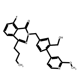 CCCCc1nn(Cc2ccc(-c3ccnc(OC)c3)c(CO)c2)c(=O)c2c(F)cccc12